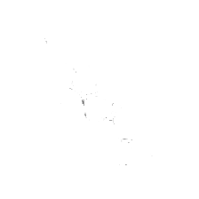 Cc1c(Br)cccc1-c1cc2c(=O)n(CCO)ccc2o1